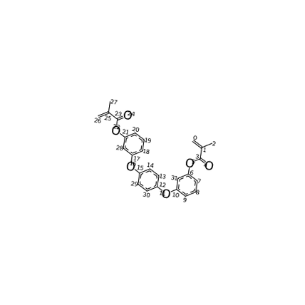 C=C(C)C(=O)Oc1cccc(Oc2ccc(Oc3cccc(OC(=O)C(=C)C)c3)cc2)c1